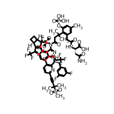 Cc1cc(CC(=O)N[C@@H](CC(N)=O)C(=O)O)c(C(C)(C)CC(=O)N(c2nn(CC(F)(F)F)c3c(-c4ccc(C#CC(C)(C)S(C)(=O)=O)nc4[C@H](Cc4cc(F)cc(F)c4)NC(=O)Cn4nc(C(F)(F)F)c5c4C(F)(F)[C@@H]4CC[C@H]54)ccc(Cl)c23)S(C)(=O)=O)c(OP(=O)(O)O)c1